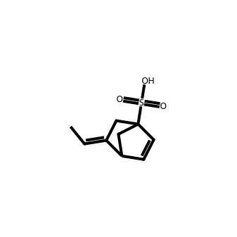 CC=C1CC2(S(=O)(=O)O)C=CC1C2